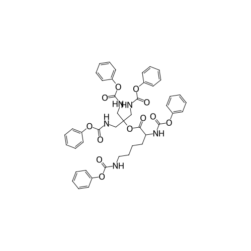 O=C(NCCCCC(NC(=O)Oc1ccccc1)C(=O)OC(CNC(=O)Oc1ccccc1)(CNC(=O)Oc1ccccc1)CNC(=O)Oc1ccccc1)Oc1ccccc1